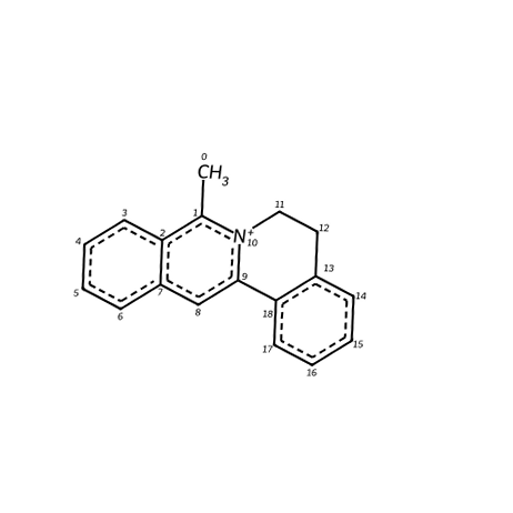 Cc1c2ccccc2cc2[n+]1CCc1ccccc1-2